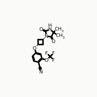 CC1(C)NC(=O)N([C@H]2C[C@@H](Oc3ccc(C#N)c(OC(F)(F)F)c3)C2)C1=O